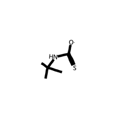 CC(C)(C)NC([O])=S